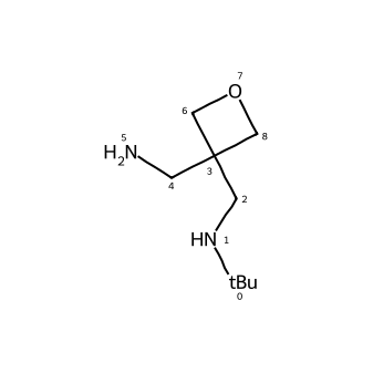 CC(C)(C)NCC1(CN)COC1